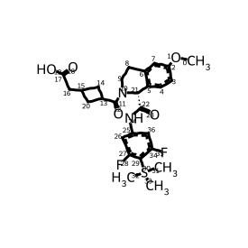 COc1ccc2c(c1)CCN(C(=O)C1CC(CC(=O)O)C1)[C@H]2C(=O)Nc1cc(F)c(S(C)(C)C)c(F)c1